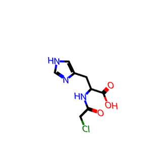 O=C(CCl)NC(Cc1c[nH]cn1)C(=O)O